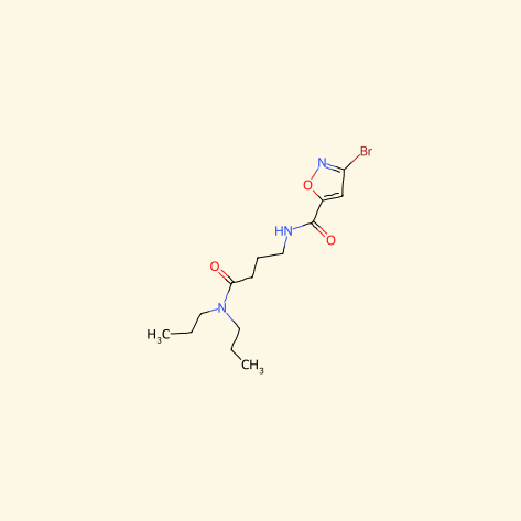 CCCN(CCC)C(=O)CCCNC(=O)c1cc(Br)no1